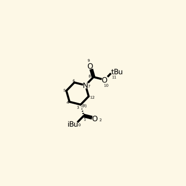 CCC(C)C(=O)[C@@H]1CCCN(C(=O)OC(C)(C)C)C1